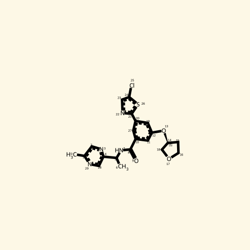 Cc1cnc(C(C)NC(=O)c2cc(O[C@H]3CCOC3)cc(-c3ncc(Cl)s3)c2)cn1